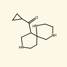 O=C(C1CC1)C1CNCCC12CNCCN2